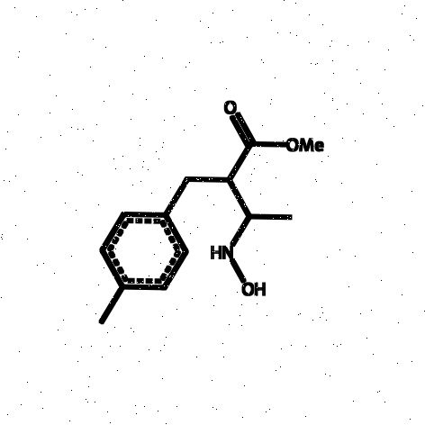 COC(=O)C(Cc1ccc(C)cc1)C(C)NO